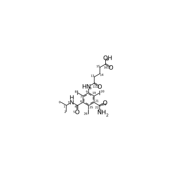 CC(C)NC(=O)c1c(I)c(NC(=O)CCCC(=O)O)c(I)c(C(N)=O)c1I